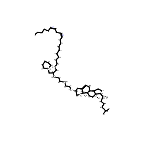 CCCCC/C=C\C/C=C\CCCCCCCCOCC(CN1CCCCC1)OCCOCCO[C@H]1CC[C@@]2(C)C(=CCC3C2CC[C@@]2(C)C3CC[C@@H]2[C@H](C)CCCC(C)C)C1